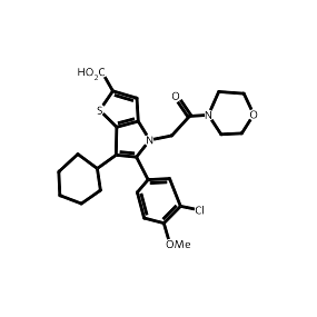 COc1ccc(-c2c(C3CCCCC3)c3sc(C(=O)O)cc3n2CC(=O)N2CCOCC2)cc1Cl